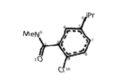 CNC(=O)c1cc(C(C)C)ccc1Cl